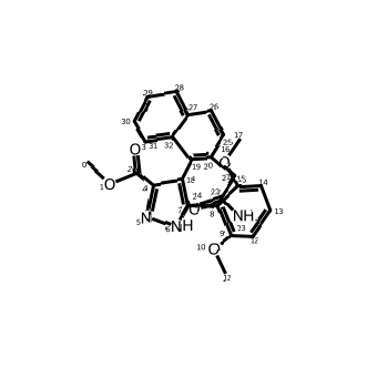 COC(=O)c1n[nH]c(-c2c(OC)cccc2OC)c1-c1c(CC(N)=O)ccc2ccccc12